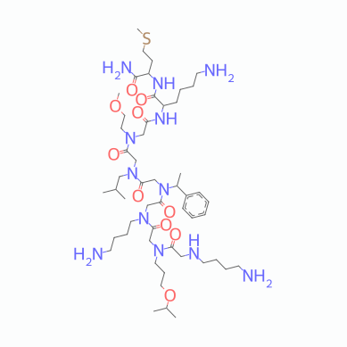 COCCN(CC(=O)NC(CCCCN)C(=O)NC(CCSC)C(N)=O)C(=O)CN(CC(C)C)C(=O)CN(C(=O)CN(CCCCN)C(=O)CN(CCCOC(C)C)C(=O)CNCCCCN)C(C)c1ccccc1